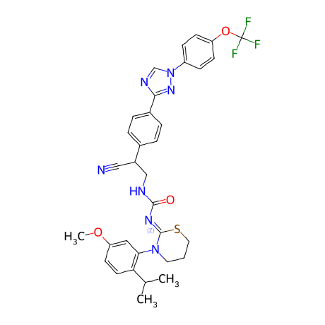 COc1ccc(C(C)C)c(N2CCCS/C2=N\C(=O)NCC(C#N)c2ccc(-c3ncn(-c4ccc(OC(F)(F)F)cc4)n3)cc2)c1